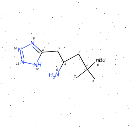 CCCCC(C)(C)CC(N)Cc1nnn[nH]1